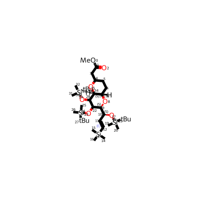 COC(=O)CC1CC[C@@H]2O[C@@H]([C@H](/C=C/[Si](C)(C)C)O[Si](C)(C)C(C)(C)C)C(O[Si](C)(C)C(C)(C)C)C(O[Si](C)(C)C(C)(C)C)[C@H]2O1